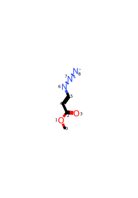 COC(=O)C=CN=[N+]=[N-]